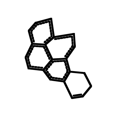 C1=Cc2cc3ccc4cccc5ccc(c2CC1)c3c45